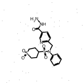 NNC(=O)c1ccc(CN(c2ccccc2)S(=O)(=O)C2CCS(=O)(=O)CC2)nc1